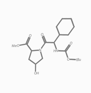 COC(=O)C1CC(O)CN1C(=O)C(NC(=O)OC(C)(C)C)C1CCCCC1